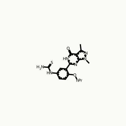 CCCOc1ccc(NC(N)=S)cc1-c1nc2c(c(C)nn2C)c(=O)[nH]1